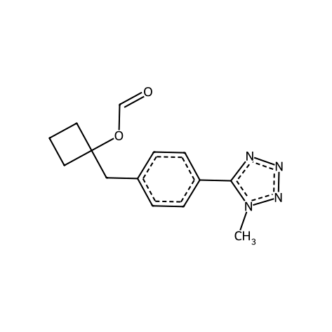 Cn1nnnc1-c1ccc(CC2(OC=O)CCC2)cc1